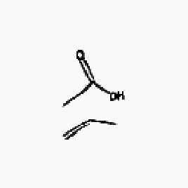 C=CC.CC(=O)O